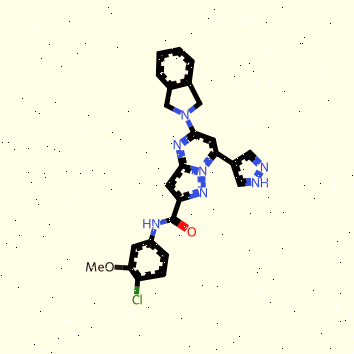 COc1cc(NC(=O)c2cc3nc(N4Cc5ccccc5C4)cc(-c4cn[nH]c4)n3n2)ccc1Cl